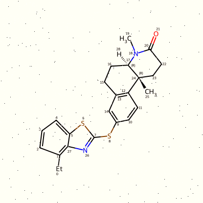 CCc1cccc2sc(Sc3ccc4c(c3)CC[C@H]3N(C)C(=O)CC[C@]43C)nc12